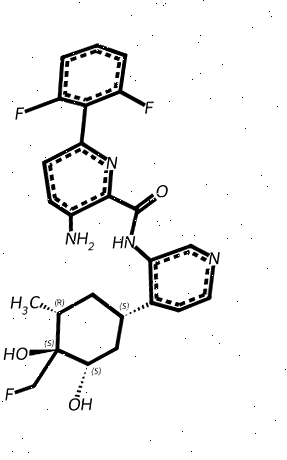 C[C@@H]1C[C@H](c2ccncc2NC(=O)c2nc(-c3c(F)cccc3F)ccc2N)C[C@H](O)[C@]1(O)CF